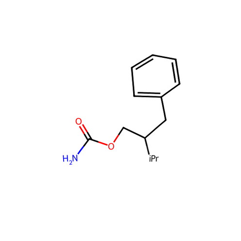 CC(C)C(COC(N)=O)Cc1ccccc1